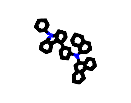 c1ccc(-n2c3ccccc3c3c(-c4cccc(N(c5cccc6ccccc56)c5cc6ccccc6c6ccccc56)c4)cccc32)cc1